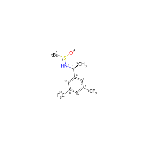 C[C@H](N[S+]([O-])C(C)(C)C)c1cc(C(F)(F)F)cc(C(F)(F)F)c1